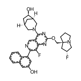 Oc1cc(-c2ncc3c(N4C[C@@H]5C[C@H](C4)[C@H](O)C5)nc(OC[C@@]45CCCN4C[C@H](F)C5)nc3c2F)c2ccccc2c1